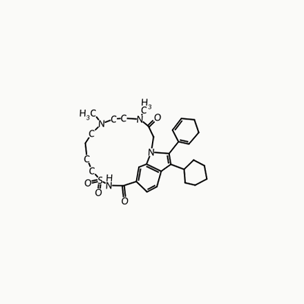 CN1CCCCS(=O)(=O)NC(=O)c2ccc3c(C4CCCCC4)c(C4=CCCC=C4)n(c3c2)CC(=O)N(C)CC1